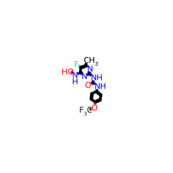 Cc1nc(NC(=O)Nc2ccc(OC(F)(F)F)cc2)nc(NO)c1F